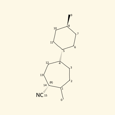 CC1CCC([C@H]2CC[C@H](C)CC2)CC[C@H]1C#N